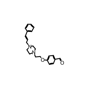 O=Cc1ccc(OCCN2CCN(CC=Cc3ccccc3)CC2)cc1